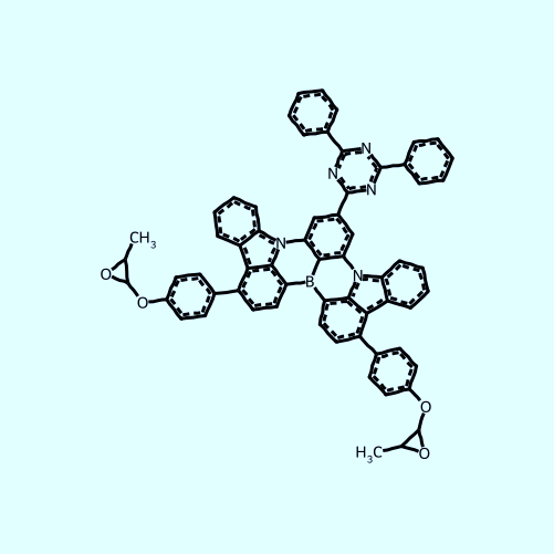 CC1OC1Oc1ccc(-c2ccc3c4c2c2ccccc2n4-c2cc(-c4nc(-c5ccccc5)nc(-c5ccccc5)n4)cc4c2B3c2ccc(-c3ccc(OC5OC5C)cc3)c3c5ccccc5n-4c23)cc1